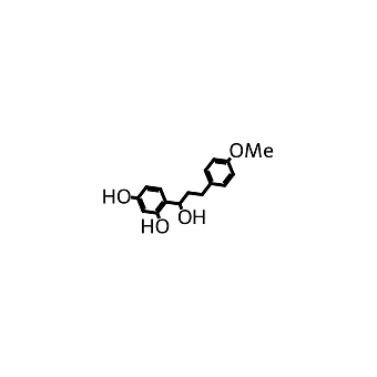 COc1ccc(CCC(O)c2ccc(O)cc2O)cc1